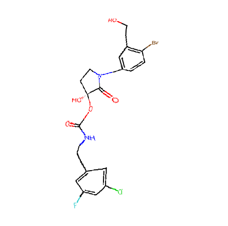 O=C(NCc1cc(F)cc(Cl)c1)O[C@@]1(O)CCN(c2ccc(Br)c(CO)c2)C1=O